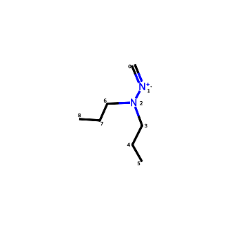 C=[N+]N(CCC)CCC